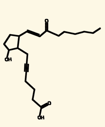 CCCCCCC(=O)C=CC1CCC(O)C1CC#CCCCC(=O)O